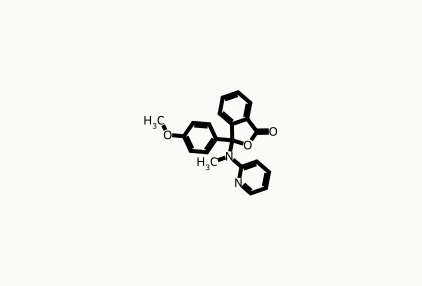 COc1ccc(C2(N(C)c3ccccn3)OC(=O)c3ccccc32)cc1